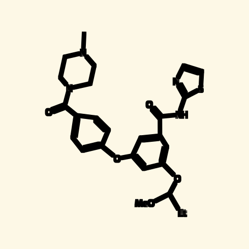 CCC(OC)Oc1cc(Oc2ccc(C(=O)N3CCN(C)CC3)cc2)cc(C(=O)Nc2nccs2)c1